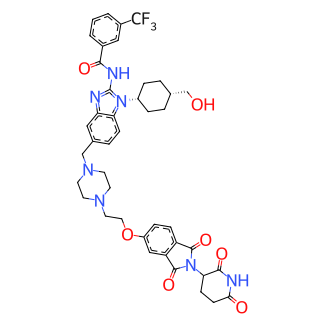 O=C1CCC(N2C(=O)c3ccc(OCCN4CCN(Cc5ccc6c(c5)nc(NC(=O)c5cccc(C(F)(F)F)c5)n6[C@H]5CC[C@@H](CO)CC5)CC4)cc3C2=O)C(=O)N1